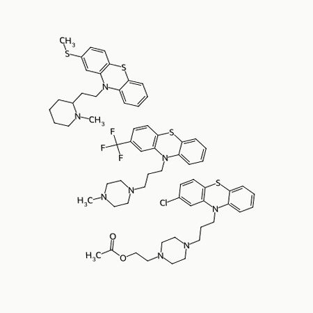 CC(=O)OCCN1CCN(CCCN2c3ccccc3Sc3ccc(Cl)cc32)CC1.CN1CCN(CCCN2c3ccccc3Sc3ccc(C(F)(F)F)cc32)CC1.CSc1ccc2c(c1)N(CCC1CCCCN1C)c1ccccc1S2